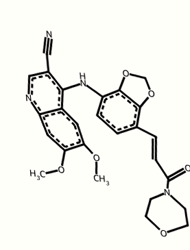 COc1cc2ncc(C#N)c(Nc3ccc(C=CC(=O)N4CCOCC4)c4c3OCO4)c2cc1OC